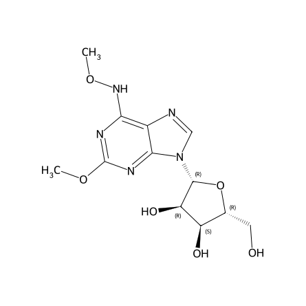 CONc1nc(OC)nc2c1ncn2[C@@H]1O[C@H](CO)[C@@H](O)[C@H]1O